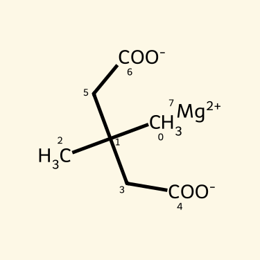 CC(C)(CC(=O)[O-])CC(=O)[O-].[Mg+2]